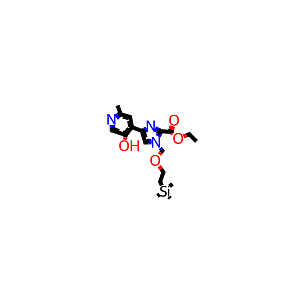 CCOC(=O)c1nc(-c2cc(C)ncc2O)cn1COCC[Si](C)(C)C